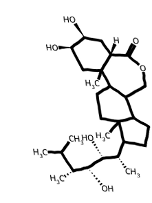 CC(C)[C@@H](C)[C@@H](O)[C@H](O)[C@@H](C)C1CCC2C3COC(=O)[C@H]4C[C@H](O)[C@H](O)CC4(C)C3CCC21C